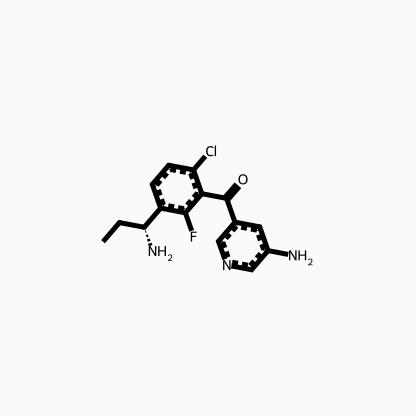 CC[C@@H](N)c1ccc(Cl)c(C(=O)c2cncc(N)c2)c1F